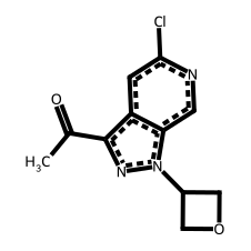 CC(=O)c1nn(C2COC2)c2cnc(Cl)cc12